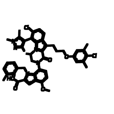 COc1ccc(N2CC(C)n3c(c(CCCOc4cc(C)c(Cl)c(C)c4)c4ccc(Cl)c(-c5c(C)nn(C)c5C)c43)C2=O)c2c1cc(C(=O)O)n2Cc1cccc(C)n1